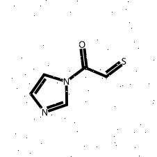 O=C([C]=S)n1ccnc1